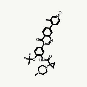 Cc1c[n+]([O-])ccc1-c1ccc2c(=O)n(-c3ccc(OC(F)(F)F)c(NC(=O)C4(N5CCN(C)CC5)CC4)c3)cnc2c1